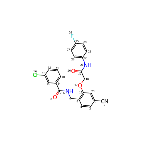 N#Cc1ccc(CNC(=O)c2cccc(Cl)c2)c(OCC(=O)Nc2ccc(F)cc2)c1